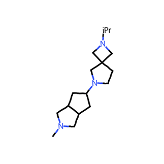 CC(C)N1CC2(CCN(C3CC4CN(C)CC4C3)C2)C1